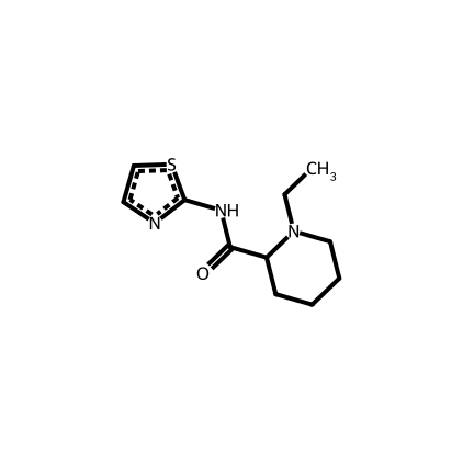 CCN1CCCCC1C(=O)Nc1nccs1